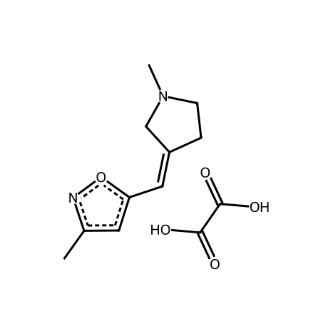 Cc1cc(/C=C2/CCN(C)C2)on1.O=C(O)C(=O)O